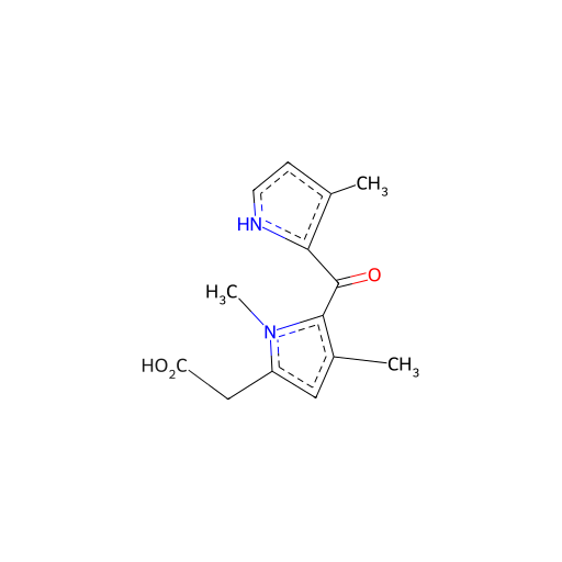 Cc1cc[nH]c1C(=O)c1c(C)cc(CC(=O)O)n1C